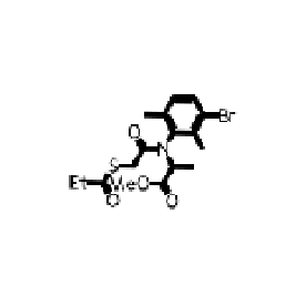 CCC(=O)SCC(=O)N(c1c(C)ccc(Br)c1C)C(C)C(=O)OC